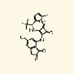 Cc1ccc([C@H](Nc2c(Nc3cc(Cl)cc4c3C(=O)NC4)c(=O)c2=O)C(C)(C)C)o1